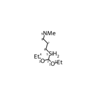 CCOC(OCC)[SiH2]CCCNC